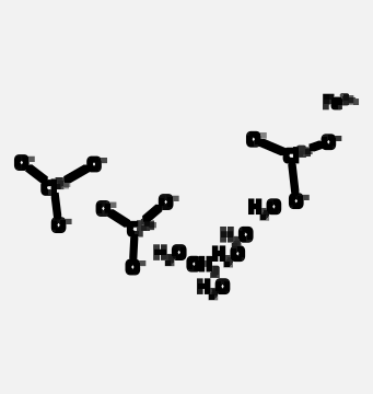 O.O.O.O.O.O.[Fe+3].[O-][Cl+2]([O-])[O-].[O-][Cl+2]([O-])[O-].[O-][Cl+2]([O-])[O-]